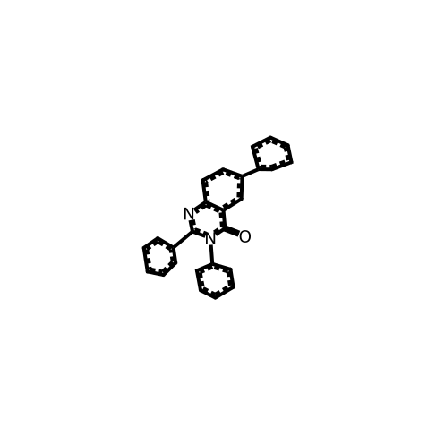 O=c1c2cc(-c3ccccc3)ccc2nc(-c2ccccc2)n1-c1ccccc1